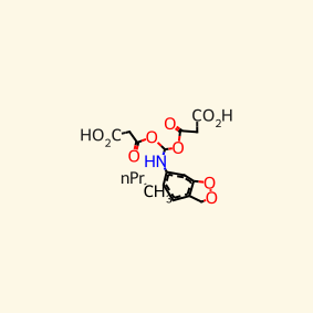 CCCC.O=C(O)CC(=O)OC(Nc1ccc2c(c1)OOC2)OC(=O)CC(=O)O